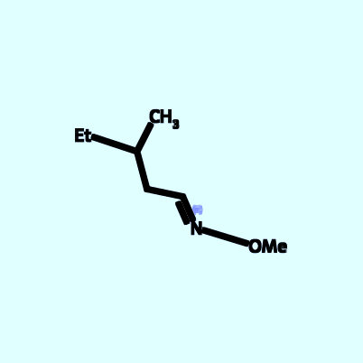 CCC(C)C/C=N/OC